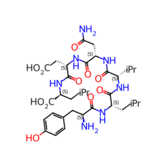 CC(C)C[C@H](NC(=O)[C@H](CC(=O)O)NC(=O)[C@H](CC(N)=O)NC(=O)[C@@H](NC(=O)[C@H](CC(C)C)NC(=O)[C@@H](N)Cc1ccc(O)cc1)C(C)C)C(=O)O